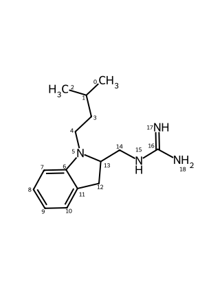 CC(C)CCN1c2ccccc2CC1CNC(=N)N